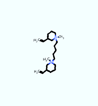 C=CC1CCC[N+](C)(CCCCC[N+]2(C)CCCC(C=C)C2)C1